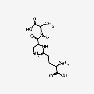 CC(C(=O)O)N([S])C(=O)C(CS)NC(=O)CCC(N)C(=O)O